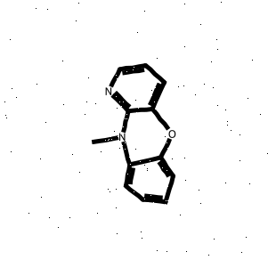 CN1c2ccccc2Oc2cccnc21